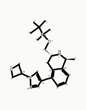 C[C@@H]1N[C@@H](CO[Si](C)(C)C(C)(C)C)Cc2c(-c3cnn(C4COC4)c3)cccc21